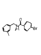 Cc1cccc(CNC(=O)c2ccc(Br)cc2)c1